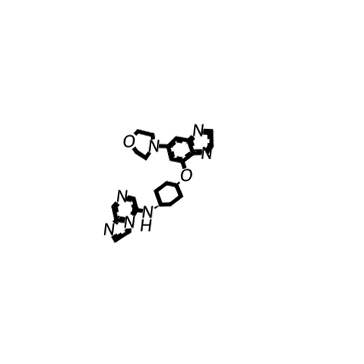 c1cnc2c(O[C@H]3CC[C@@H](Nc4cncc5nccn45)CC3)cc(N3CCOCC3)cc2n1